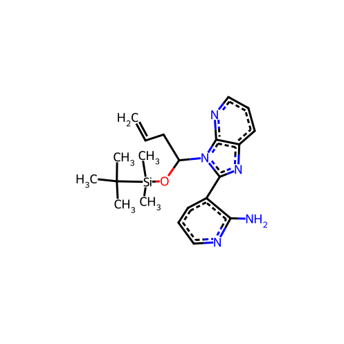 C=CCC(O[Si](C)(C)C(C)(C)C)n1c(-c2cccnc2N)nc2cccnc21